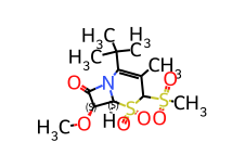 CO[C@H]1C(=O)N2C(C(C)(C)C)=C(C)C(S(C)(=O)=O)S(=O)(=O)[C@@H]12